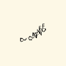 Fc1cccc(-c2nc3cnn(Cc4ccc(/C=C/c5ccccc5)cc4)cc-3n2)c1F